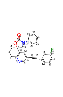 O=C1O[C@@]2(CCCc3ncc(C#Cc4cccc(F)c4)cc32)CN1c1ccccc1